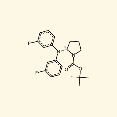 CC(C)(C)OC(=O)N1CCC[C@H]1N(c1cccc(F)c1)c1cccc(F)c1